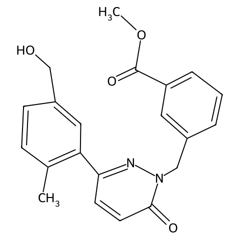 COC(=O)c1cccc(Cn2nc(-c3cc(CO)ccc3C)ccc2=O)c1